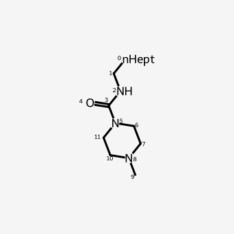 CCCCCCCCNC(=O)N1CCN(C)CC1